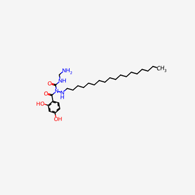 CCCCCCCCCCCCCCCCCCNN(C(=O)NCN)C(=O)c1ccc(O)cc1O